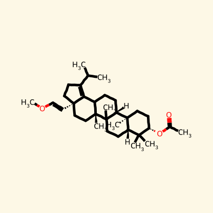 CO/C=C/[C@]12CCC(C(C)C)=C1C1CC[C@H]3C(C)(CC[C@H]4C(C)(C)[C@@H](OC(C)=O)CC[C@@]43C)[C@]1(C)CC2